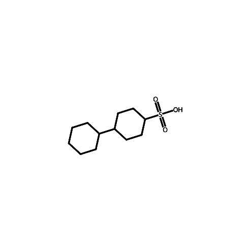 O=S(=O)(O)C1CCC(C2CCCCC2)CC1